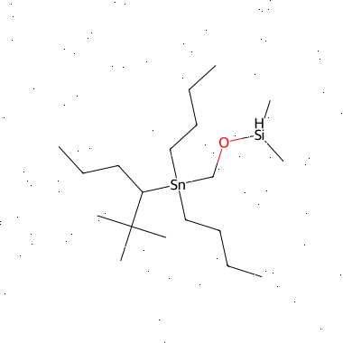 CCC[CH2][Sn]([CH2]CCC)([CH2]O[SiH](C)C)[CH](CCC)C(C)(C)C